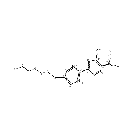 CCCCCCCc1cnc(-c2ccc(C(=O)O)c(F)c2)nc1